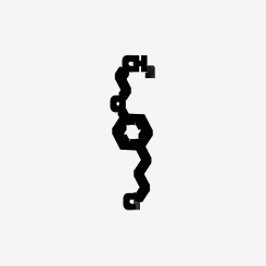 C=CCOc1ccc(CCCCl)cc1